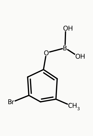 Cc1cc(Br)cc(OB(O)O)c1